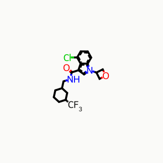 O=C(NCC1CCCC(C(F)(F)F)C1)c1cn(C2COC2)c2cccc(Cl)c12